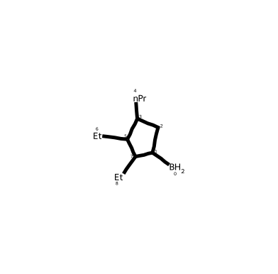 BC1CC(CCC)C(CC)C1CC